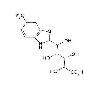 O=C(O)C(O)[C@@H](O)C(O)C(O)c1nc2cc(C(F)(F)F)ccc2[nH]1